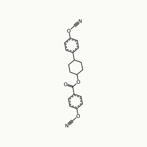 N#COc1ccc(C(=O)OC2CCC(c3ccc(OC#N)cc3)CC2)cc1